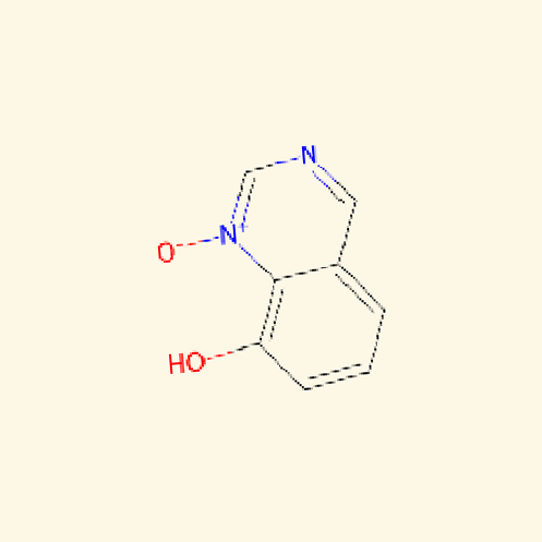 [O-][n+]1cncc2cccc(O)c21